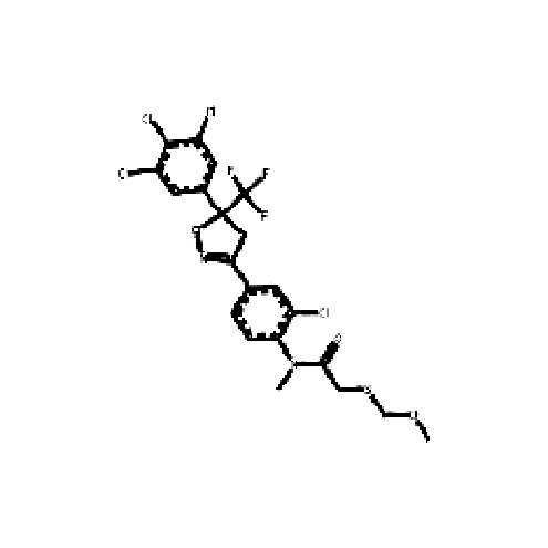 COCSCC(=O)N(C)c1ccc(C2=NOC(c3cc(Cl)c(Cl)c(Cl)c3)(C(F)(F)F)C2)cc1Cl